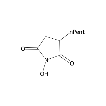 CCCCCC1CC(=O)N(O)C1=O